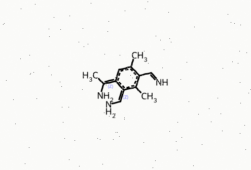 C/C(N)=c1\cc(C)c(C=N)c(C)\c1=C\N